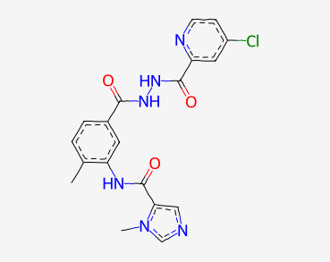 Cc1ccc(C(=O)NNC(=O)c2cc(Cl)ccn2)cc1NC(=O)c1cncn1C